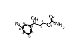 NC(=O)OCC[C@H](O)c1cccc(F)c1